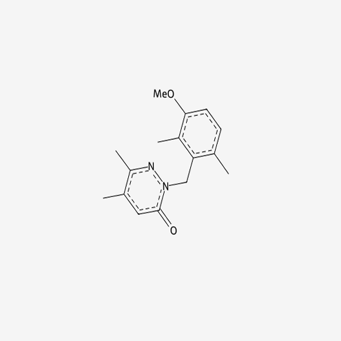 COc1ccc(C)c(Cn2nc(C)c(C)cc2=O)c1C